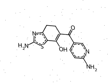 Nc1ccc(C(=O)C2=C(O)c3sc(N)nc3CC2)cn1